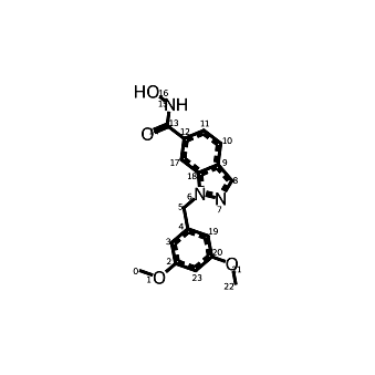 COc1cc(Cn2ncc3ccc(C(=O)NO)cc32)cc(OC)c1